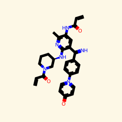 C=CC(=O)Nc1cc(C(=N)c2ccc(-n3ccc(=O)cc3)cc2)c(N[C@@H]2CCCN(C(=O)C=C)C2)nc1C